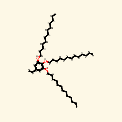 CCCCCCCCCCCCCOc1cc(CC)cc(OCCCCCCCCCCCCC)c1OCCCCCCCCCCCCC